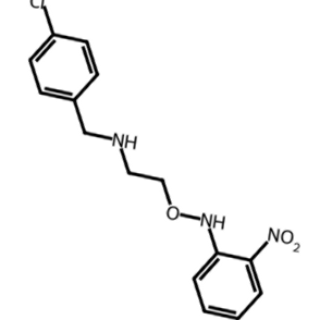 O=[N+]([O-])c1ccccc1NOCCNCc1ccc(Cl)cc1